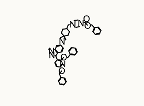 Cn1nc(-c2ccc(OCc3ccccc3)nc2OCc2ccccc2)c2ccc(N3CC4(CCC(CN5CCN(C(=O)OCc6ccccc6)CC5)CC4)C3)cc21